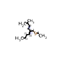 C=CSCC(/C=C/C(=C)C)=C/CCC